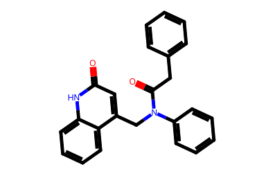 O=C(Cc1ccccc1)N(Cc1cc(=O)[nH]c2ccccc12)c1ccccc1